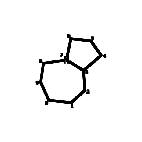 C1CCC2CCCN2CC1